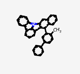 Cc1ccc(-c2ccccc2)cc1-c1c2ccccc2cc2c1c1cccc3c4ccccc4n2c31